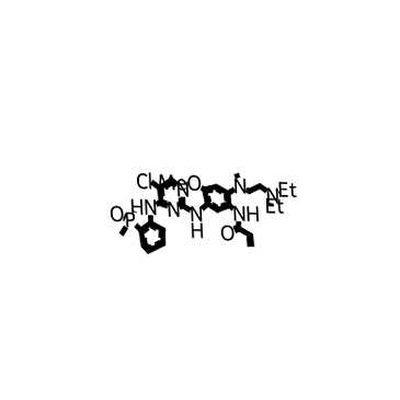 C=CC(=O)Nc1cc(Nc2ncc(Cl)c(Nc3ccccc3P(C)(C)=O)n2)c(OC)cc1N(C)CCN(CC)CC